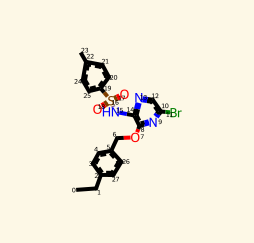 CCc1ccc(COc2nc(Br)cnc2NS(=O)(=O)c2ccc(C)cc2)cc1